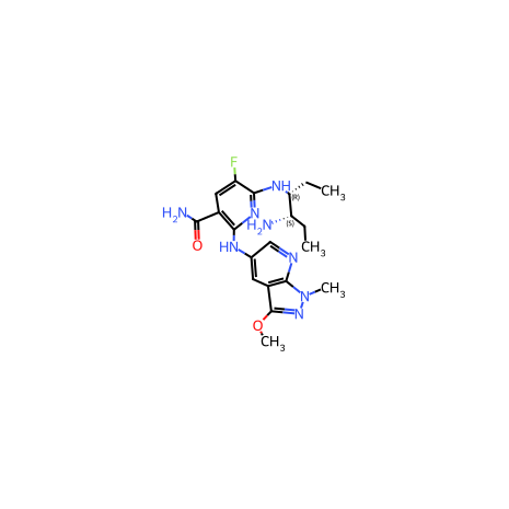 CC[C@H](N)[C@@H](CC)Nc1nc(Nc2cnc3c(c2)c(OC)nn3C)c(C(N)=O)cc1F